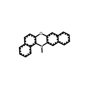 CN1c2cc3ccccc3cc2Oc2ccc3ccccc3c21